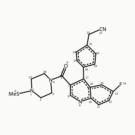 CSN1CCN(C(=O)c2cnc3ccc(F)cc3c2-c2ccc(CC#N)cc2)CC1